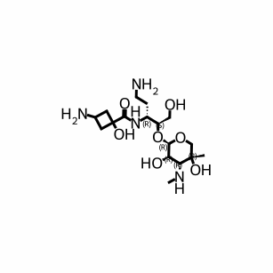 CN[C@@H]1[C@@H](O)[C@@H](O[C@H](CO)[C@@H](CCN)NC(=O)C2(O)CC(N)C2)OC[C@]1(C)O